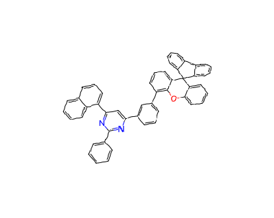 c1ccc(-c2nc(-c3cccc(-c4cccc5c4Oc4ccccc4C54c5ccccc5-c5ccccc54)c3)cc(-c3cccc4ccccc34)n2)cc1